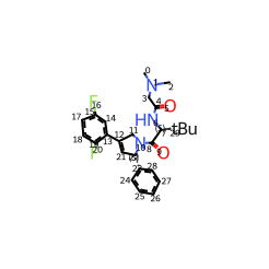 CN(C)CC(=O)N[C@H](C(=O)N1CC(c2cc(F)ccc2F)=C[C@H]1c1ccccc1)C(C)(C)C